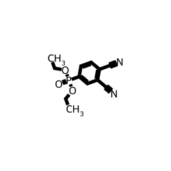 CCOP(=O)(OCC)c1ccc(C#N)c(C#N)c1